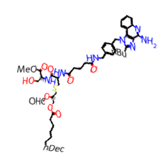 CCCCCCCCCCCCCCCC(=O)OC[C@H](CSCC(NC(=O)CCCC(=O)NCc1ccc(Cn2c(CCCC)nc3c(N)nc4ccccc4c32)cc1)C(=O)N[C@@H](CO)C(=O)OC)OC=O